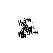 CNc1nn(C)c2c(-c3ccc(C#CC(C)(C)O)nc3[C@H](Cc3cc(F)cc(F)c3)NC(=O)Cn3nc(C(F)F)c4c3C(F)(F)[C@@H]3C#C[C@H]43)ccc(Cl)c12